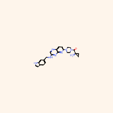 NC1(C(=O)N2CCN(c3ccc4ncc(NCc5ccc6cc[nH]c6c5)nc4n3)CC2)CC1